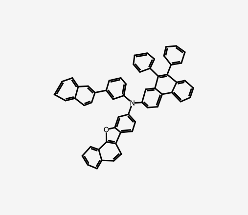 c1ccc(-c2c(-c3ccccc3)c3cc(N(c4cccc(-c5ccc6ccccc6c5)c4)c4ccc5c(c4)oc4c6ccccc6ccc54)ccc3c3ccccc23)cc1